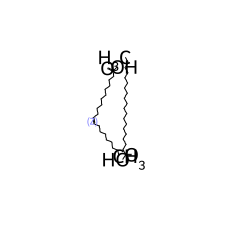 CCCCCCCC/C=C\CCCCCCCCCC(=O)O.CCCCCCCCCCCCCCCCCCCC(=O)O